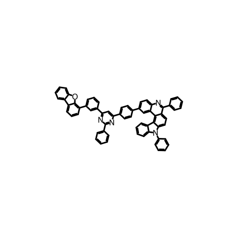 c1ccc(-c2nc(-c3ccc(-c4ccc5nc(-c6ccccc6)c6ccc7c(c8ccccc8n7-c7ccccc7)c6c5c4)cc3)cc(-c3cccc(-c4cccc5c4oc4ccccc45)c3)n2)cc1